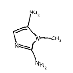 Cn1c([N+](=O)[O-])cnc1N